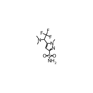 CN(C)C(c1cc(S(N)(=O)=O)nn1C)C(F)(F)F